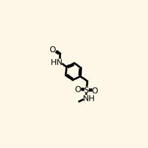 CNS(=O)(=O)Cc1ccc(NC=O)cc1